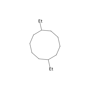 CCC1CCCCC(CC)CCCC1